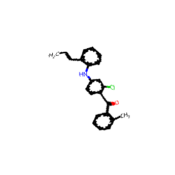 [CH2]/C=C/c1ccccc1Nc1ccc(C(=O)c2ccccc2C)c(Cl)c1